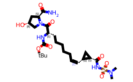 CN(C)S(=O)(=O)NC(=O)[C@H]1C[C@H]1/C=C\CCCCC[C@H](NC(=O)OC(C)(C)C)C(=O)N1C[C@H](O)C[C@H]1C(N)=O